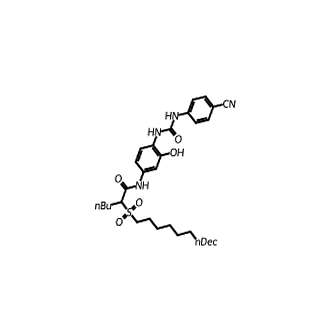 CCCCCCCCCCCCCCCCS(=O)(=O)C(CCCC)C(=O)Nc1ccc(NC(=O)Nc2ccc(C#N)cc2)c(O)c1